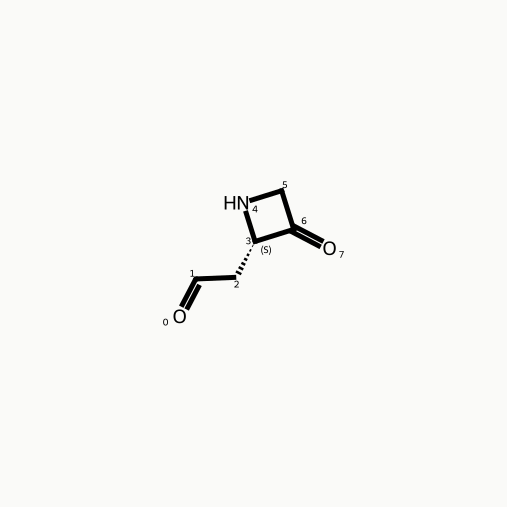 O=CC[C@@H]1NCC1=O